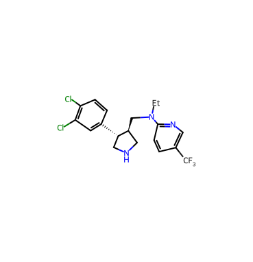 CCN(C[C@H]1CNC[C@@H]1c1ccc(Cl)c(Cl)c1)c1ccc(C(F)(F)F)cn1